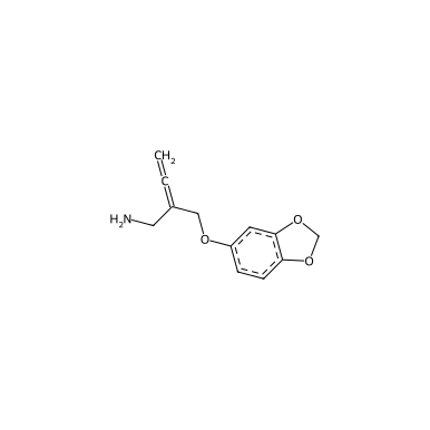 C=C=C(CN)COc1ccc2c(c1)OCO2